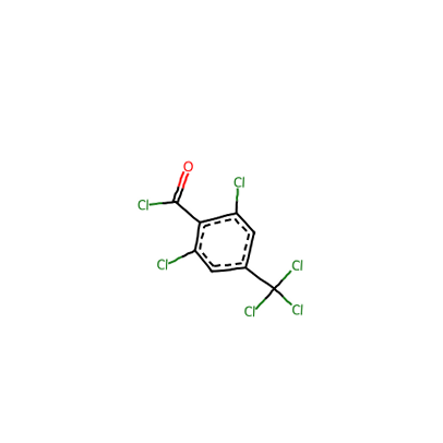 O=C(Cl)c1c(Cl)cc(C(Cl)(Cl)Cl)cc1Cl